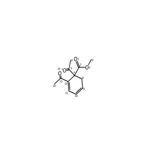 COC(=O)C1(C(C)=O)CC=CC=C1C(C)=O